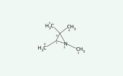 CC1N(C)C1(C)C